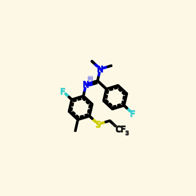 Cc1cc(F)c(/N=C(\c2ccc(F)cc2)N(C)C)cc1SCC(F)(F)F